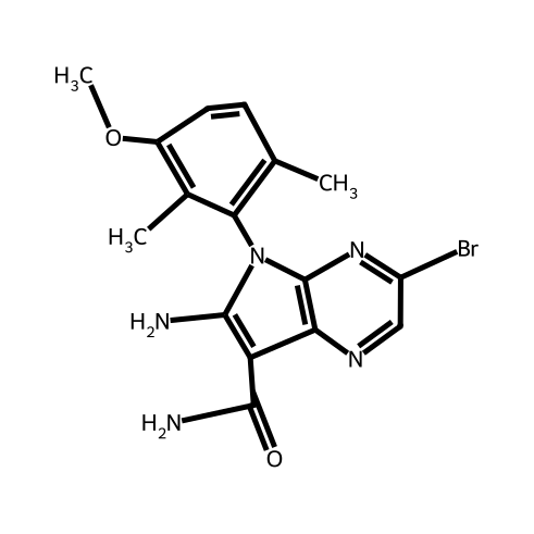 COc1ccc(C)c(-n2c(N)c(C(N)=O)c3ncc(Br)nc32)c1C